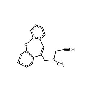 C#CCN(C)CC1=Cc2ccccc2Oc2ccccc21